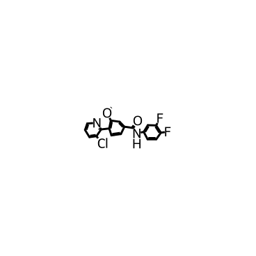 COc1cc(C(=O)Nc2ccc(F)c(F)c2)ccc1-c1ncccc1Cl